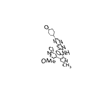 COc1cnc(Cl)cc1-c1cc(C)ncc1C(=O)Nc1nc2ncc(C3CCC(=O)CC3)nc2s1